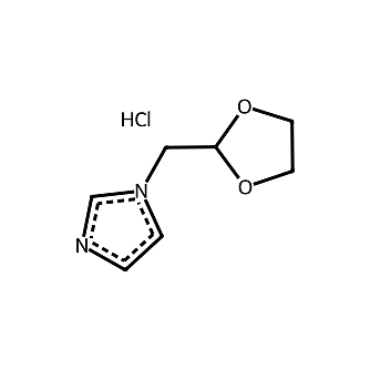 Cl.c1cn(CC2OCCO2)cn1